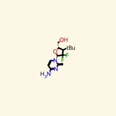 C=C1N=C(N)C=CN1[C@@H]1O[C@H](CO)C(C(C)(C)C)C1(F)F